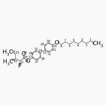 CCCCCCCCCOc1ccc(-c2ccc(OC(=O)C(F)C(C)CC)cc2)cc1